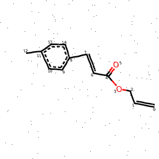 C=CCOC(=O)C=Cc1ccc(C)cc1